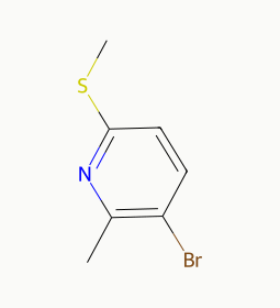 CSc1ccc(Br)c(C)n1